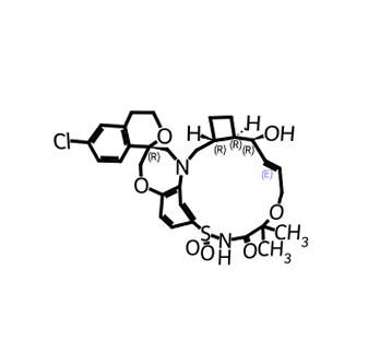 CC1(C)OC/C=C/[C@H](O)[C@@H]2CC[C@H]2CN2C[C@]3(COc4ccc(cc42)S(=O)(=O)NC1=O)OCCc1cc(Cl)ccc13